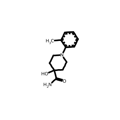 Cc1ccccc1N1CCC(O)(C(N)=O)CC1